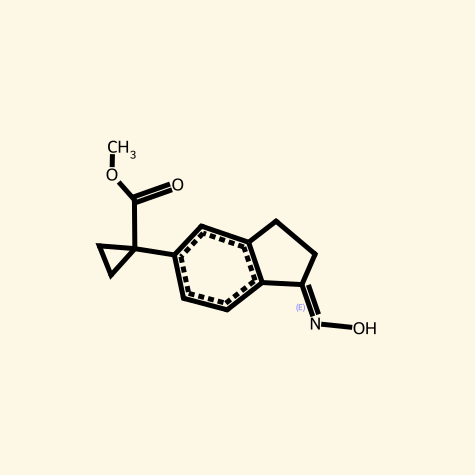 COC(=O)C1(c2ccc3c(c2)CC/C3=N\O)CC1